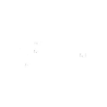 CCCC(=O)N(CCC)CCCCCN